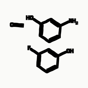 C=O.Nc1cccc(O)c1.Oc1cccc(F)c1